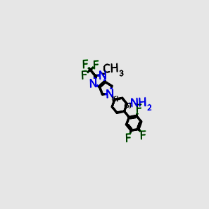 Cn1c(C(F)(F)F)nc2c1CN([C@H]1CCC(c3cc(F)c(F)cc3F)[C@@H](N)C1)C2